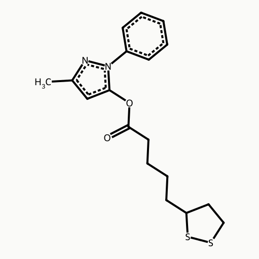 Cc1cc(OC(=O)CCCCC2CCSS2)n(-c2ccccc2)n1